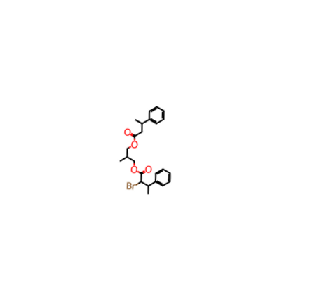 CC(COC(=O)CC(C)c1ccccc1)COC(=O)C(Br)C(C)c1ccccc1